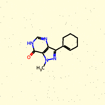 Cn1nc(C2=CCCCC2)c2nc[nH]c(=O)c21